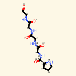 O=[C]CNC(=O)CNC(=O)CNC(=O)CNC(=O)[C@@H]1CCCN1